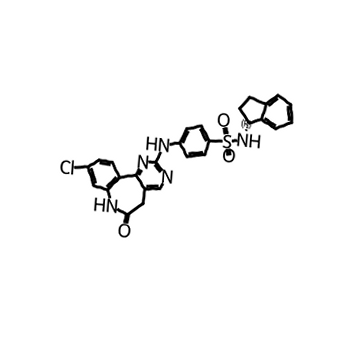 O=C1Cc2cnc(Nc3ccc(S(=O)(=O)N[C@@H]4CCc5ccccc54)cc3)nc2-c2ccc(Cl)cc2N1